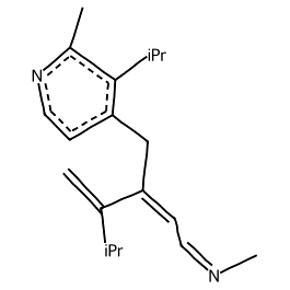 C=C(/C(=C\C=N/C)Cc1ccnc(C)c1C(C)C)C(C)C